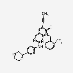 CC#Cc1cc2cnc(Nc3ccc(C4CNCCO4)cc3)nc2n(Cc2ccccc2C(F)(F)F)c1=O